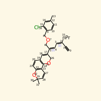 C#C/C(=C\C=C(/COCc1ccc(C)cc1Cl)C1=Cc2ccc3c(c2OC1)C=CC(C)(C)O3)CCC